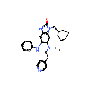 CN(CCc1ccncc1)c1cc2c(cc1Nc1ccccc1)[nH]c(=O)n2CC1CCCCC1